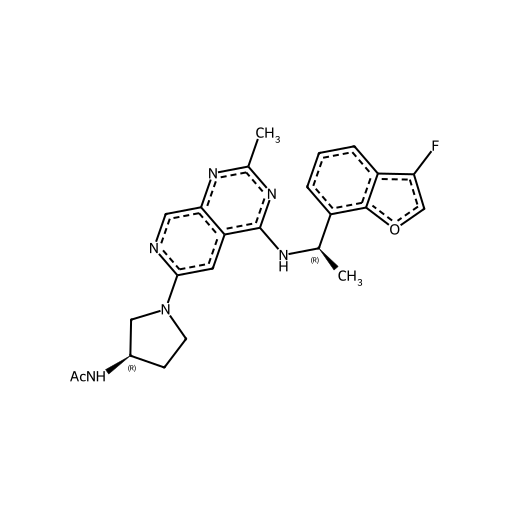 CC(=O)N[C@@H]1CCN(c2cc3c(N[C@H](C)c4cccc5c(F)coc45)nc(C)nc3cn2)C1